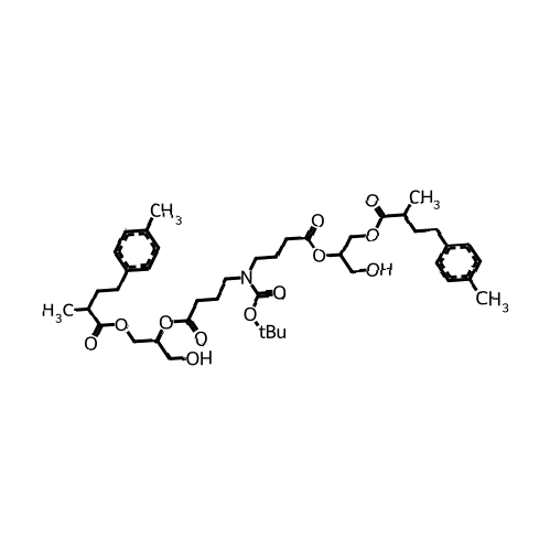 Cc1ccc(CCC(C)C(=O)OCC(CO)OC(=O)CCCN(CCCC(=O)OC(CO)COC(=O)C(C)CCc2ccc(C)cc2)C(=O)OC(C)(C)C)cc1